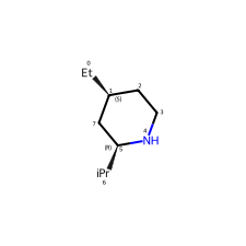 CC[C@H]1CCN[C@@H](C(C)C)C1